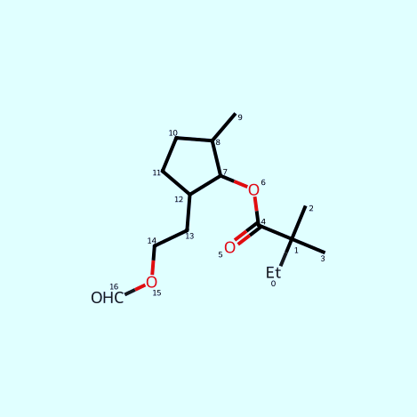 CCC(C)(C)C(=O)OC1C(C)CCC1CCOC=O